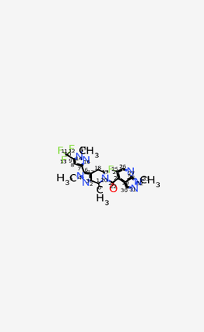 C[C@H]1c2nn(C)c(-c3cc(C(F)(F)F)n(C)n3)c2CCN1C(=O)c1c(F)cnc2c1cnn2C